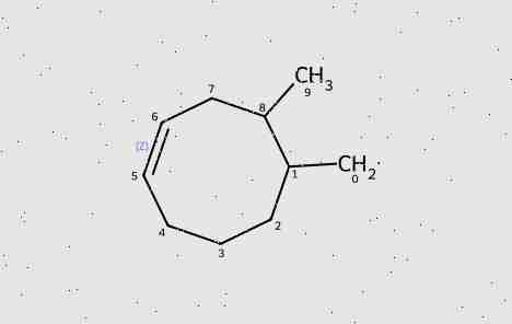 [CH2]C1CCC/C=C\CC1C